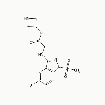 CS(=O)(=O)n1nc(NCC(=O)NC2CNC2)c2cc(C(F)(F)F)ccc21